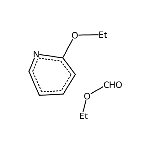 CCOC=O.CCOc1ccccn1